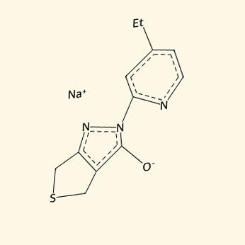 CCc1ccnc(-n2nc3c(c2[O-])CSC3)c1.[Na+]